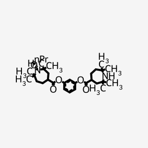 CCCON1C(C)(C)CCC(C(=O)Oc2cccc(OC(=O)C3CCC(C)(C)NC(C)(C)C3)c2)CC1(C)C